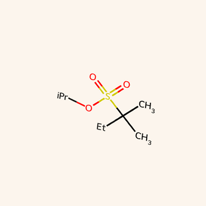 CCC(C)(C)S(=O)(=O)OC(C)C